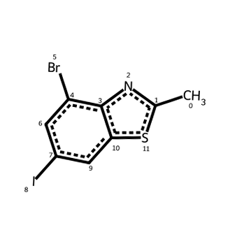 Cc1nc2c(Br)cc(I)cc2s1